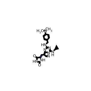 CN(C)c1ccc(CNc2nc(NC3CC3)n3ncc(/C=C4\NC(=O)NC4=O)c3n2)cc1